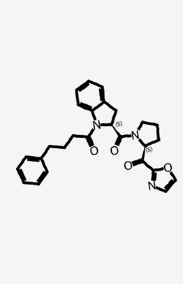 O=C(c1ncco1)[C@@H]1CCCN1C(=O)[C@@H]1Cc2ccccc2N1C(=O)CCCc1ccccc1